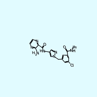 CC(C)NC(=O)c1cc(Cl)cc(Cn2cc(NC(=O)c3nccnc3N)cn2)c1